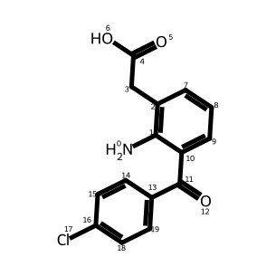 Nc1c(CC(=O)O)cccc1C(=O)c1ccc(Cl)cc1